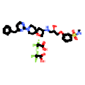 CNS(=O)(=O)c1cccc(OC[C@@H](O)CN[C@H]2COC3(CCN(c4nccc(Cc5ccccc5)n4)CC3)C2)c1.O=C(O)C(F)(F)F.O=C(O)C(F)(F)F